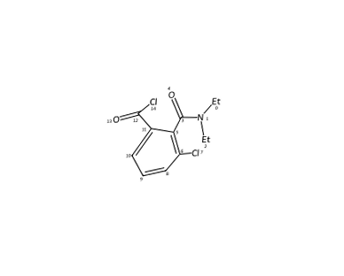 CCN(CC)C(=O)c1c(Cl)cccc1C(=O)Cl